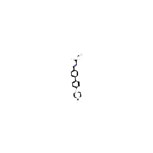 CN1CCN(c2ccc(-c3ccc(/C=C/C(=O)NO)cc3)cc2)CC1